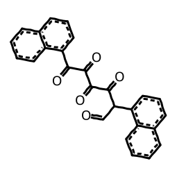 O=CC(C(=O)C(=O)C(=O)C(=O)c1cccc2ccccc12)c1cccc2ccccc12